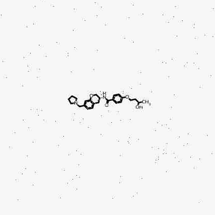 CC(O)CCOc1ccc(C(=O)N[C@H]2COc3cc(CN4CCCC4)ccc3C2)cc1